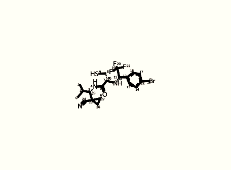 CC(C)[C@H](NC(=O)[C@H](CS)N[C@@H](c1ccc(Br)cc1)C(F)(F)F)C1(C#N)CC1